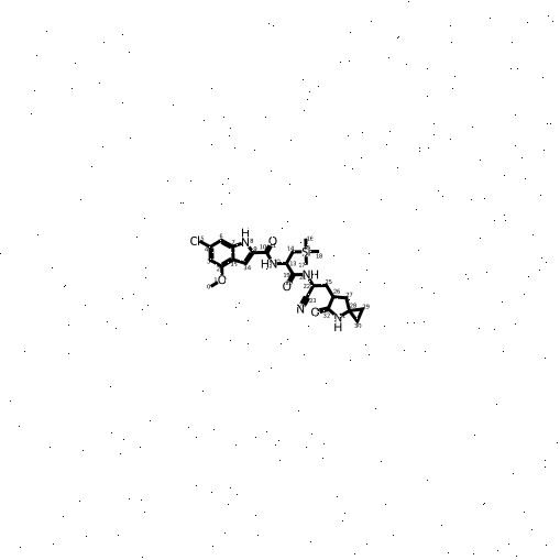 COc1cc(Cl)cc2[nH]c(C(=O)NC(C[Si](C)(C)C)C(=O)NC(C#N)CC3CC4(CC4)NC3=O)cc12